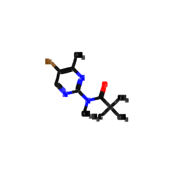 Cc1nc(N(C)C(=O)C(C)(C)C)ncc1Br